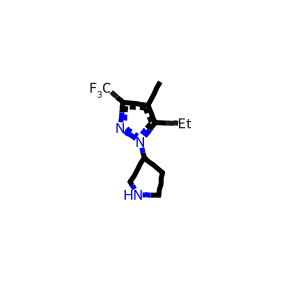 CCc1c(C)c(C(F)(F)F)nn1C1CCNC1